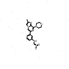 Cc1cn2cc(-c3cccc(NC=S(=O)=O)c3)nc(N3CCOCC3)c2n1